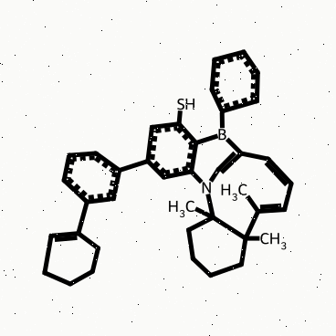 C/C1=C\C=C/C2=CN(c3cc(-c4cccc(C5=CCCCC5)c4)cc(S)c3B2c2ccccc2)C2(C)CCCCC12C